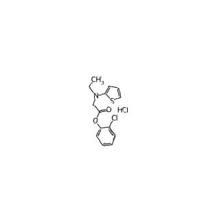 CCN(CC(=O)Oc1ccccc1Cl)c1cccs1.Cl